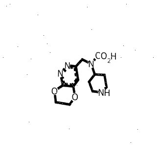 O=C(O)N(Cc1cc2c(nn1)OCCO2)C1CCNCC1